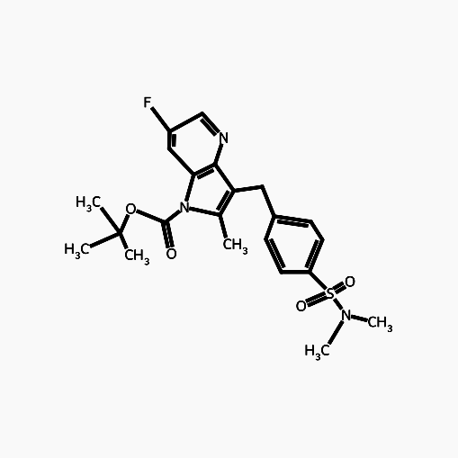 Cc1c(Cc2ccc(S(=O)(=O)N(C)C)cc2)c2ncc(F)cc2n1C(=O)OC(C)(C)C